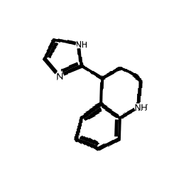 c1ccc2c(c1)NCCC2c1ncc[nH]1